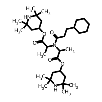 CC(C(=O)OC1CC(C)(C)NC(C)(C)C1)N(C(=O)CCC1CCCCC1)C(C)C(=O)OC1CC(C)(C)NC(C)(C)C1